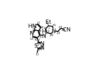 CC[C@H]1C[C@@H](Nc2c(-c3nnc(C)s3)cnc3[nH]ccc23)CN(CCC#N)C1